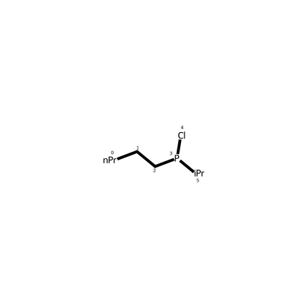 CCCCCP(Cl)C(C)C